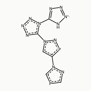 c1nn(-c2cn(-c3nnnn3C3=NN=[N+]N3)np2)cp1